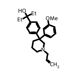 C=CCN1CCCC(c2ccc(C(O)(CC)CC)cc2)(c2cccc(OC)c2)C1